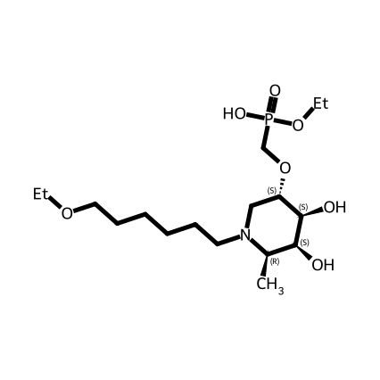 CCOCCCCCCN1C[C@H](OCP(=O)(O)OCC)[C@@H](O)[C@@H](O)[C@H]1C